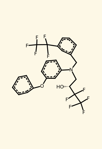 O[C@H](CN(Cc1cccc(C(F)(F)C(F)(F)F)c1)c1cccc(Oc2ccccc2)c1)C(F)(F)C(F)(F)F